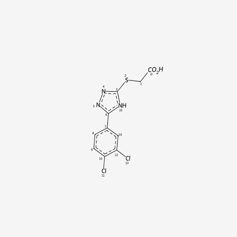 O=C(O)CSc1nnc(-c2ccc(Cl)c(Cl)c2)[nH]1